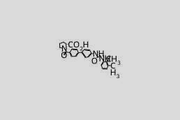 Cc1cccc(NC(=O)Nc2ccc(-c3ccc(C(=O)N4CCC[C@@H]4C(=O)O)cc3)cc2)c1C